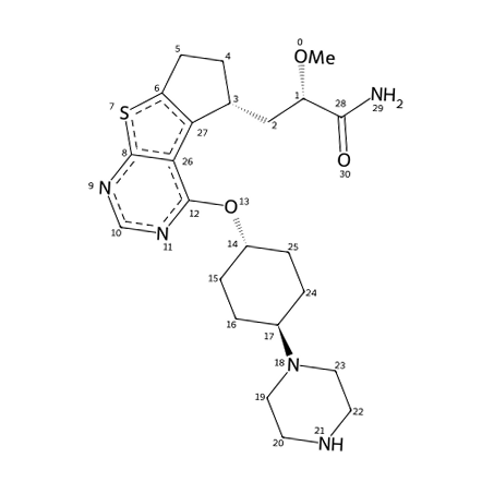 CO[C@@H](C[C@H]1CCc2sc3ncnc(O[C@H]4CC[C@H](N5CCNCC5)CC4)c3c21)C(N)=O